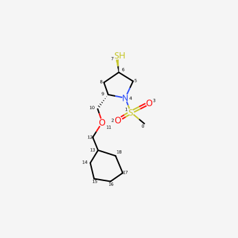 CS(=O)(=O)N1C[C@H](S)C[C@H]1COCC1CCCCC1